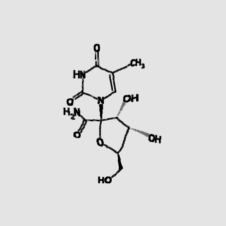 Cc1cn([C@]2(C(N)=O)O[C@H](CO)[C@@H](O)[C@H]2O)c(=O)[nH]c1=O